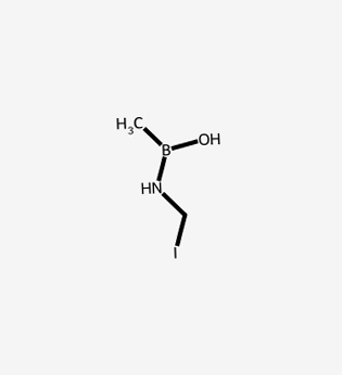 CB(O)NCI